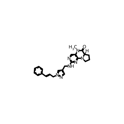 CN1C(=O)[C@@H]2CCCN2c2nc(NCc3cnn(C/C=C/c4ccccc4)c3)ncc21